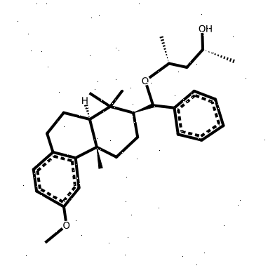 COc1ccc2c(c1)[C@@]1(C)CC[C@H](C(O[C@H](C)C[C@@H](C)O)c3ccccc3)C(C)(C)[C@@H]1CC2